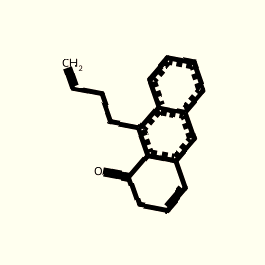 C=CCCc1c2c(cc3ccccc13)C=CCC2=O